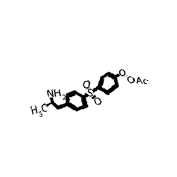 CC(=O)OOc1ccc(S(=O)(=O)c2ccc(C[C@@H](C)N)cc2)cc1